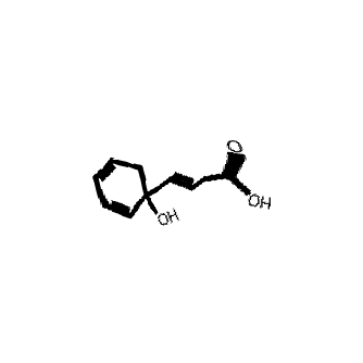 O=C(O)C=CC1(O)C=CC=CC1